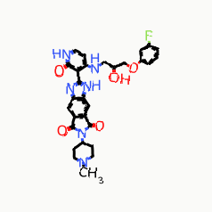 CN1CCC(N2C(=O)c3cc4nc(-c5c(NCC(O)COc6cccc(F)c6)cc[nH]c5=O)[nH]c4cc3C2=O)CC1